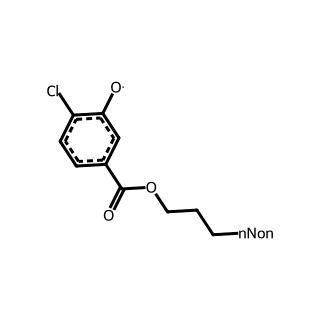 CCCCCCCCCCCCOC(=O)c1ccc(Cl)c([O])c1